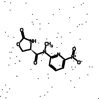 CN(C(=O)[C@@H]1COC(=O)N1)c1cccc([N+](=O)[O-])n1